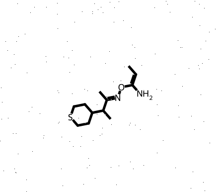 C/C=C(/N)O/N=C(\C)C(C)C1CCSCC1